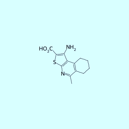 Cc1nc2sc(C(=O)O)c(N)c2c2c1CCCC2